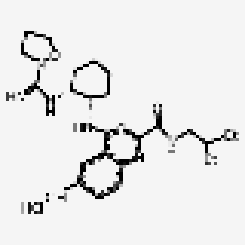 CCC(CC)CNC(=O)c1nc(N[C@H]2CCCC[C@H]2NC(=N)N2CCCO2)c2cc(C)ccc2n1.Cl.Cl